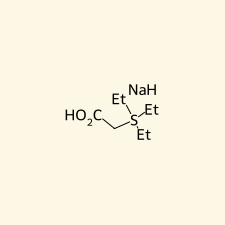 CCS(CC)(CC)CC(=O)O.[NaH]